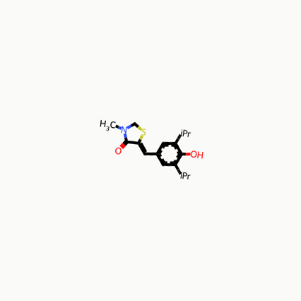 CC(C)c1cc(/C=C2\SCN(C)C2=O)cc(C(C)C)c1O